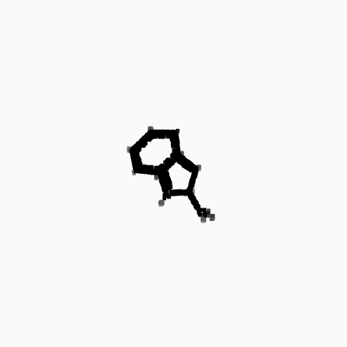 CC1C=c2ccccc2=N1